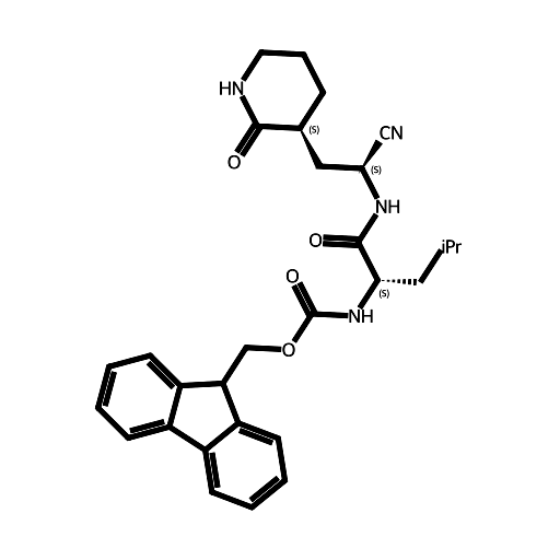 CC(C)C[C@H](NC(=O)OCC1c2ccccc2-c2ccccc21)C(=O)N[C@H](C#N)C[C@@H]1CCCNC1=O